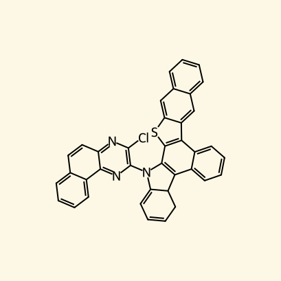 Clc1nc2ccc3ccccc3c2nc1N1C2=CC=CCC2c2c1c1sc3cc4ccccc4cc3c1c1ccccc21